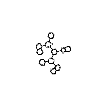 c1ccc(-c2cc(-c3cccc4cccnc34)nc(-c3cc(-c4nc(-c5ccccc5)cc(-c5cccc6cccnc56)n4)cc(-c4nc5ccccc5o4)c3)n2)cc1